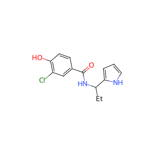 CCC(NC(=O)c1ccc(O)c(Cl)c1)c1ccc[nH]1